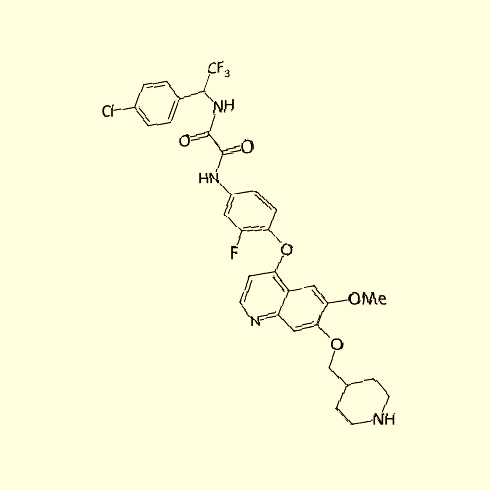 COc1cc2c(Oc3ccc(NC(=O)C(=O)NC(c4ccc(Cl)cc4)C(F)(F)F)cc3F)ccnc2cc1OCC1CCNCC1